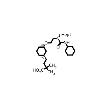 CCCCCCCN(CCO[C@@H]1CCC[C@H](CCC(C)(C)C(=O)O)C1)C(=O)NC1CCCCC1